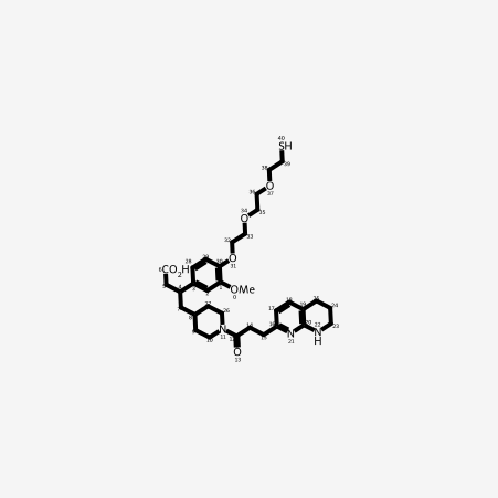 COc1cc(C(CC(=O)O)CC2CCN(C(=O)CCc3ccc4c(n3)NCCC4)CC2)ccc1OCCOCCOCCS